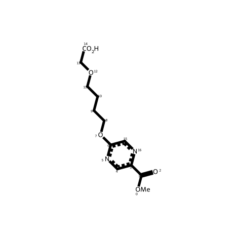 COC(=O)c1cnc(OCCCCOCC(=O)O)cn1